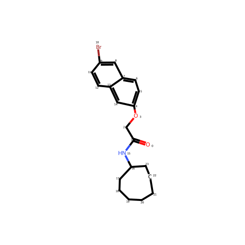 O=C(COc1ccc2cc(Br)ccc2c1)NC1CCCCCCC1